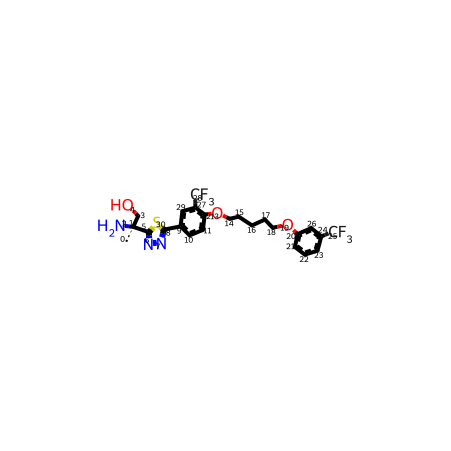 C[C@](N)(CO)c1nnc(-c2ccc(OCCCCCOc3cccc(C(F)(F)F)c3)c(C(F)(F)F)c2)s1